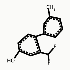 Cc1cccc(-c2ccc(O)cc2C(F)F)c1